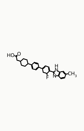 Cc1ccc2nc(C3=CC=C(c4ccc(C5CCC(CC(=O)O)CC5)cc4)CC3F)[nH]c2c1